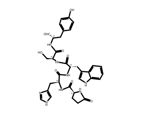 O=C[C@H](Cc1[c]cc(O)cc1)NC(=O)[C@H](CO)NC(=O)[C@H](Cc1c[nH]c2ccccc12)NC(=O)[C@H](Cc1c[nH]cn1)NC(=O)[C@@H]1CCC(=O)N1